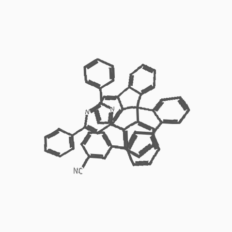 N#Cc1cccc(-c2cccc(-c3ccccc3C3(c4ccccc4-c4cc(-c5ccccc5)nc(-c5ccccc5)n4)c4ccccc4-c4ccccc43)c2)c1